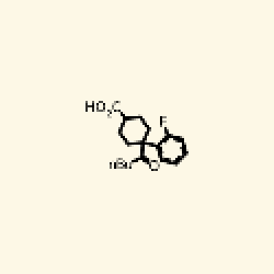 CCCCC(=O)C1(c2ccccc2F)CCC(C(=O)O)CC1